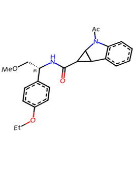 CCOc1ccc([C@H](COC)NC(=O)C2C3c4ccccc4N(C(C)=O)C23)cc1